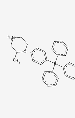 CC1C[NH2+]CCO1.c1ccc([B-](c2ccccc2)(c2ccccc2)c2ccccc2)cc1